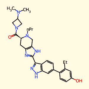 CCCN1Cc2[nH]c(-c3n[nH]c4cc(-c5ccc(O)cc5CC)ccc34)nc2C[C@H]1C(=O)N1CC(N(C)C)C1